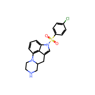 O=S(=O)(c1ccc(Cl)cc1)n1cc2c3c(cccc31)N1CCNCC1C2